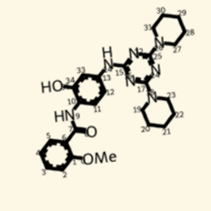 COc1ccccc1C(=O)Nc1ccc(Nc2nc(N3CCCCC3)nc(N3CCCCC3)n2)cc1O